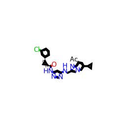 CC(=O)c1cc(C2CC2)cn2cc(CNc3cc(NC(=O)[C@H]4C[C@@H]4c4cccc(Cl)c4)ncn3)nc12